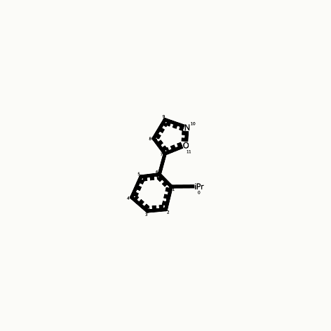 CC(C)c1ccccc1-c1ccno1